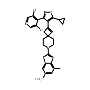 Cc1cc(C(=O)O)cc2sc(N3CCC4(C=C(c5c(-c6c(Cl)cncc6Cl)noc5C5CC5)C4)CC3)nc12